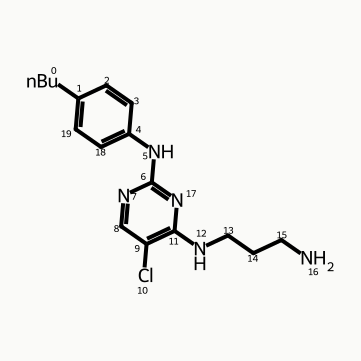 CCCCc1ccc(Nc2ncc(Cl)c(NCCCN)n2)cc1